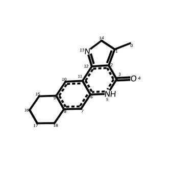 CC1=c2c(=O)[nH]c3cc4c(cc3c2=NC1)CCCC4